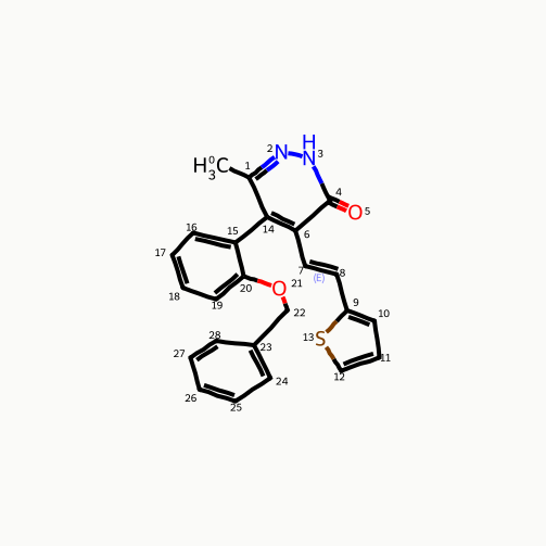 Cc1n[nH]c(=O)c(/C=C/c2cccs2)c1-c1ccccc1OCc1ccccc1